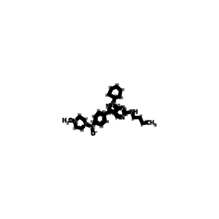 CCCCNc1ncc2c(-c3ccc([S+]([O-])N4CCN(C)CC4)cc3)nn(C3CCCCC3)c2n1